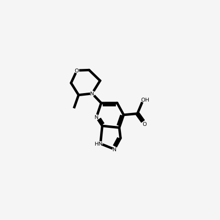 CC1COCCN1c1cc(C(=O)O)c2cn[nH]c2n1